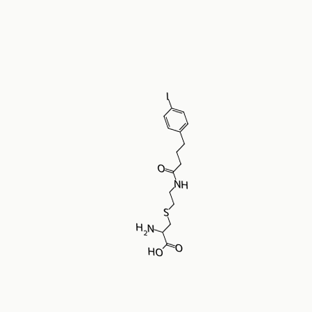 NC(CSCCNC(=O)CCCc1ccc(I)cc1)C(=O)O